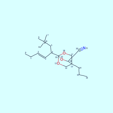 CCC=CC(C[Si](C)(C)C)C12OCC(CCC)(CO1)C(C#N)O2